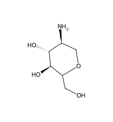 N[C@H]1COC(CO)[C@@H](O)[C@@H]1O